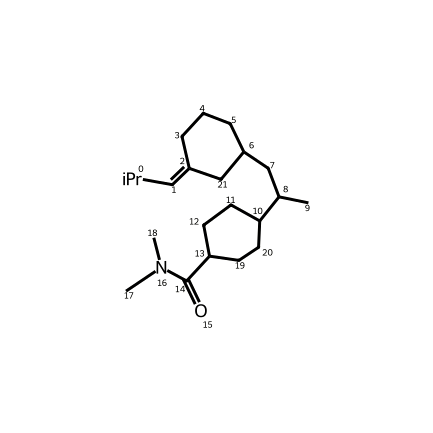 CC(C)/C=C1\CCCC(CC(C)C2CCC(C(=O)N(C)C)CC2)C1